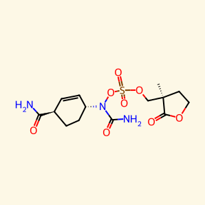 C[C@]1(COS(=O)(=O)ON(C(N)=O)[C@H]2C=C[C@H](C(N)=O)CC2)CCOC1=O